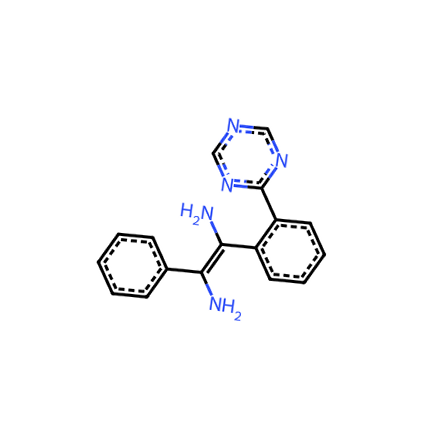 NC(=C(N)c1ccccc1-c1ncncn1)c1ccccc1